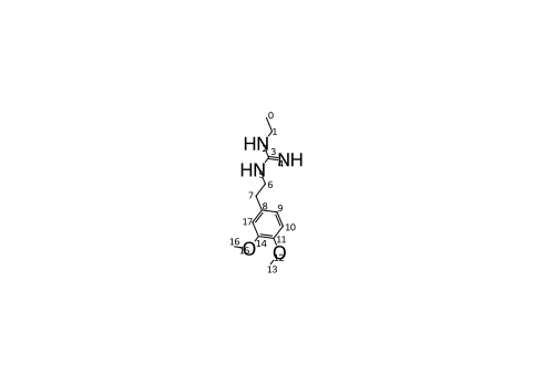 CCNC(=N)NCCc1ccc(OC)c(OC)c1